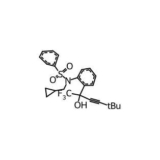 CC(C)(C)C#CC(O)(c1ccccc1N(CC1CC1)S(=O)(=O)c1ccccc1)C(F)(F)F